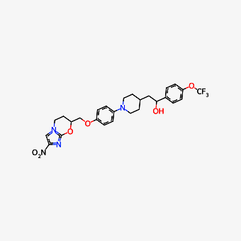 O=[N+]([O-])c1cn2c(n1)OC(COc1ccc(N3CCC(CC(O)c4ccc(OC(F)(F)F)cc4)CC3)cc1)CC2